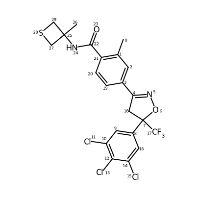 Cc1cc(C2=NOC(c3cc(Cl)c(Cl)c(Cl)c3)(C(F)(F)F)C2)ccc1C(=O)NC1(C)CSC1